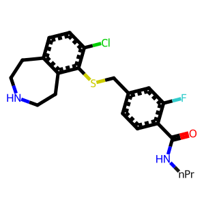 CCCNC(=O)c1ccc(CSc2c(Cl)ccc3c2CCNCC3)cc1F